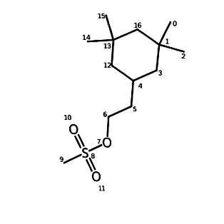 CC1(C)CC(CCOS(C)(=O)=O)CC(C)(C)C1